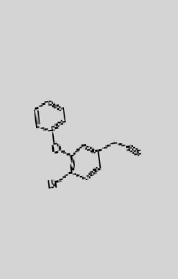 C#CCc1ccc(Br)c(Oc2ccccc2)c1